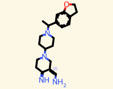 CC(c1ccc2c(c1)OCC2)N1CCC(N2CCC(=N)/C(=C\N)C2)CC1